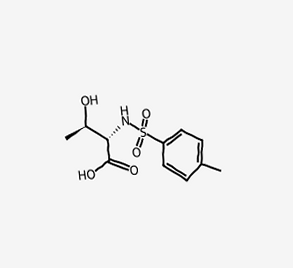 Cc1ccc(S(=O)(=O)N[C@H](C(=O)O)[C@@H](C)O)cc1